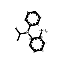 CC(C)N(c1ccccc1)c1ccccc1N